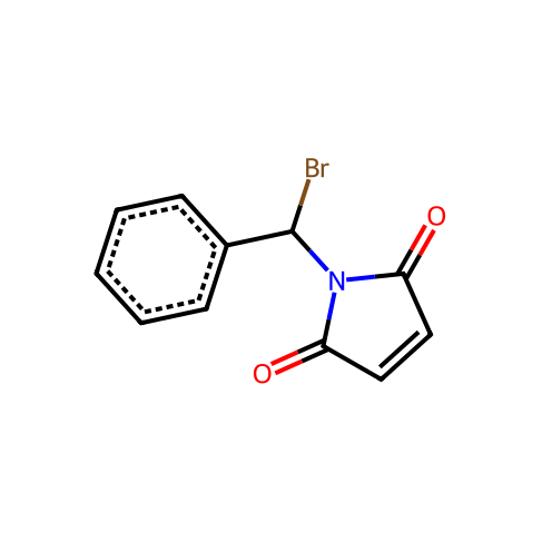 O=C1C=CC(=O)N1C(Br)c1ccccc1